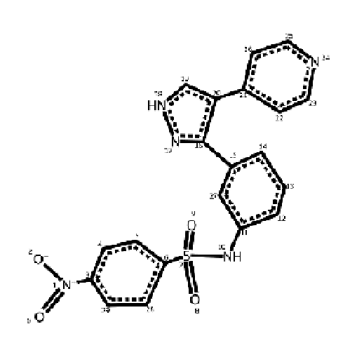 O=[N+]([O-])c1ccc(S(=O)(=O)Nc2cccc(-c3n[nH]cc3-c3ccncc3)c2)cc1